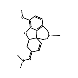 COc1ccc2c3c1OC1CC(=NN(C)C)C=CC31CCN(C)C2